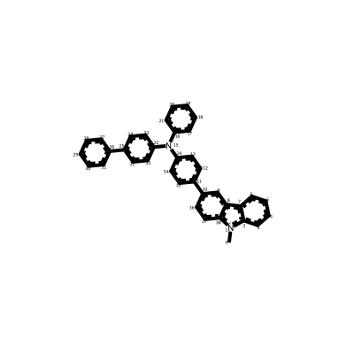 Cn1c2ccccc2c2cc(-c3ccc(N(c4ccccc4)c4ccc(-c5ccccc5)cc4)cc3)ccc21